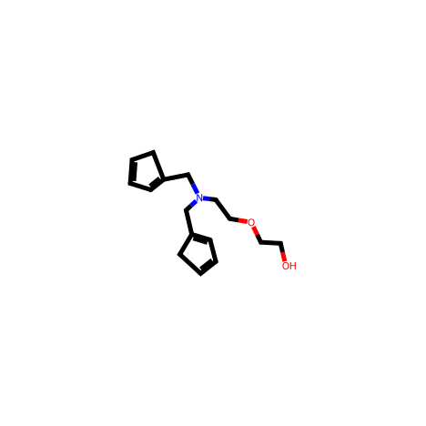 OCCOCCN(CC1=CC=CC1)CC1=CC=CC1